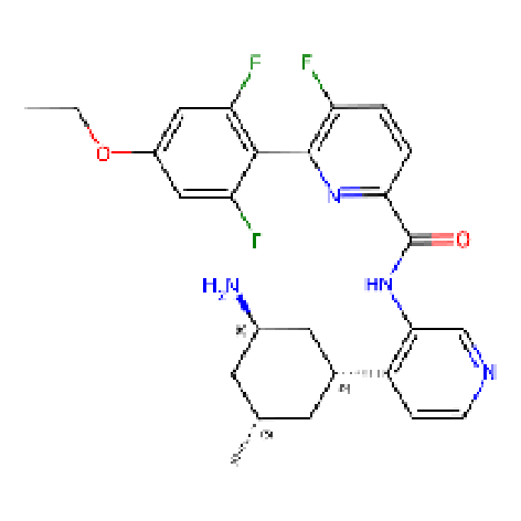 CCOc1cc(F)c(-c2nc(C(=O)Nc3cnccc3[C@@H]3C[C@H](C)C[C@@H](N)C3)ccc2F)c(F)c1